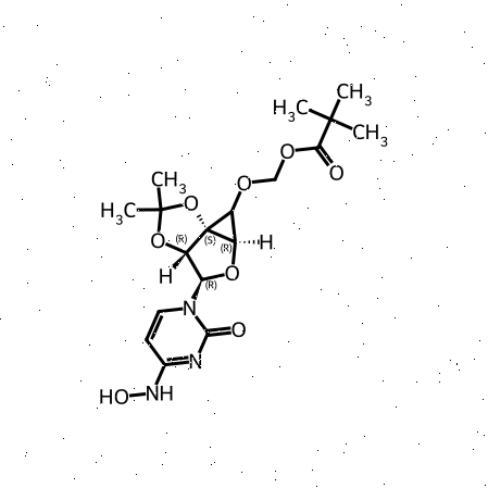 CC1(C)O[C@H]2[C@H](n3ccc(NO)nc3=O)O[C@@H]3C(OCOC(=O)C(C)(C)C)[C@@]32O1